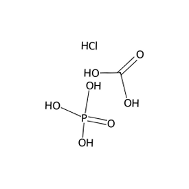 Cl.O=C(O)O.O=P(O)(O)O